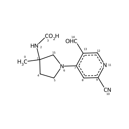 CC1(NC(=O)O)CCN(c2cc(C#N)ncc2C=O)C1